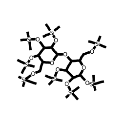 C[Si](C)(C)OCC1OC(O[Si](C)(C)C)C(O[Si](C)(C)C)C(O[Si](C)(C)C)C1OC1OC(CO[Si](C)(C)C)C(O[Si](C)(C)C)C(O[Si](C)(C)C)C1O[Si](C)(C)C